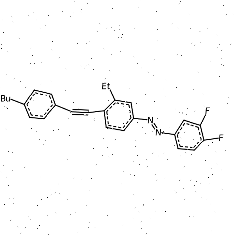 CCCCc1ccc(C#Cc2ccc(N=Nc3ccc(F)c(F)c3)cc2CC)cc1